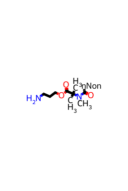 CCCCCCCCCC(=O)N(C)C(C)(C)C(=O)OCCCN